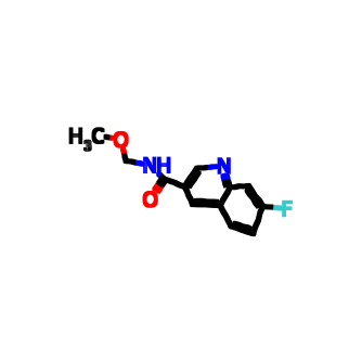 COCNC(=O)c1cnc2cc(F)ccc2c1